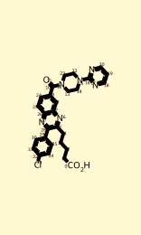 O=C(O)CCCCc1nc2cc(C(=O)N3CCN(c4ncccn4)CC3)ccc2nc1-c1ccc(Cl)cc1